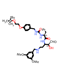 COc1cc(CNCCC(NC(=O)[C@H](CC(C)C)NC(=O)NCc2ccc(OCCO[Si](C)(C)C(C)(C)C)cc2)[C@H](O)C=O)cc(OC)c1